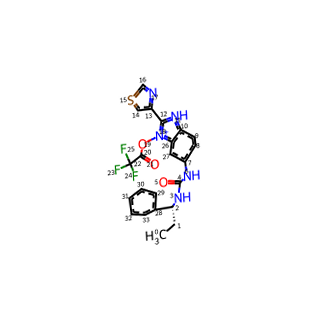 CC[C@@H](NC(=O)Nc1ccc2[nH]c(-c3cscn3)[n+](OC(=O)C(F)(F)F)c2c1)c1ccccc1